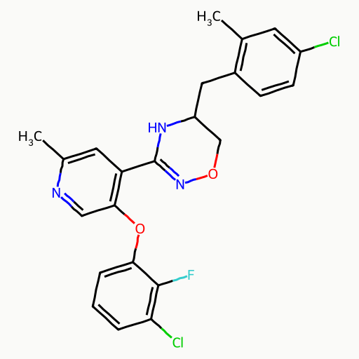 Cc1cc(C2=NOCC(Cc3ccc(Cl)cc3C)N2)c(Oc2cccc(Cl)c2F)cn1